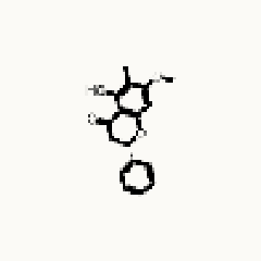 COc1cc2c(c(O)c1C)C(=O)C[C@@H](c1ccccc1)O2